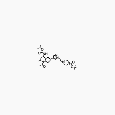 CC(=O)N1c2ccc(-c3cnn(CCN4CCN(C(=O)OC(C)(C)C)CC4)c3)cc2C(NC(=O)OC(C)C)CC1C